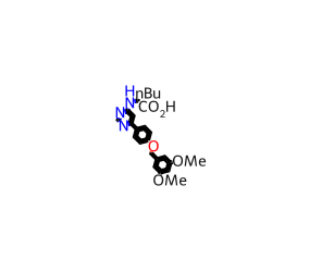 CCCCC(Nc1cc(-c2ccc(OCc3cc(OC)cc(OC)c3)cc2)ncn1)C(=O)O